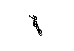 N#Cc1ccc2c(c1)CC1(CCN(c3cnc4nc(Sc5ccnc(N)c5Cl)ccc4n3)CC1)C2